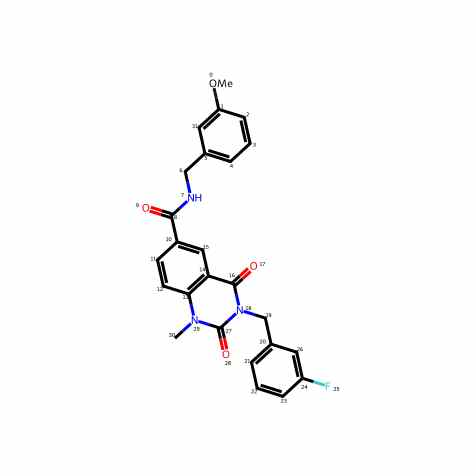 COc1cccc(CNC(=O)c2ccc3c(c2)c(=O)n(Cc2cccc(F)c2)c(=O)n3C)c1